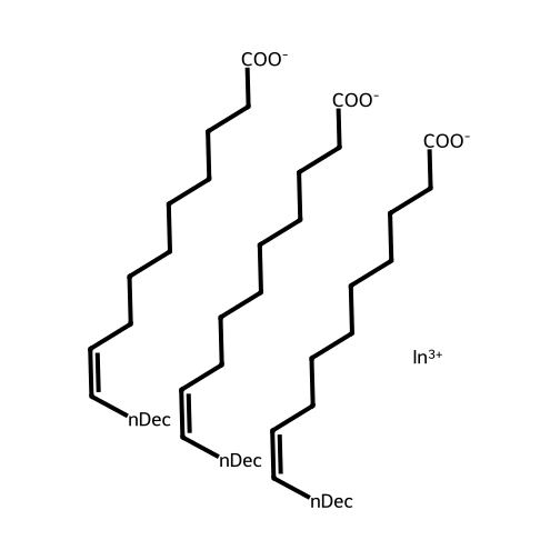 CCCCCCCCCC/C=C\CCCCCCCC(=O)[O-].CCCCCCCCCC/C=C\CCCCCCCC(=O)[O-].CCCCCCCCCC/C=C\CCCCCCCC(=O)[O-].[In+3]